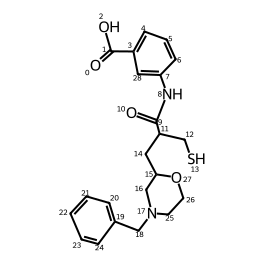 O=C(O)c1cccc(NC(=O)C(CS)CC2CN(Cc3ccccc3)CCO2)c1